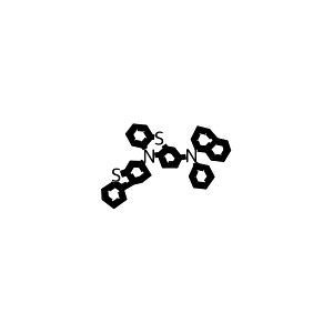 c1ccc(N(c2ccc3c(c2)Sc2ccccc2N3c2ccc3c(c2)sc2ccccc23)c2cccc3ccccc23)cc1